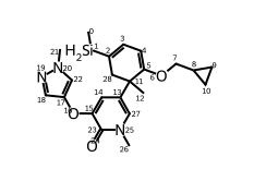 C[SiH2]C1=CC=C(OCC2CC2)C(C)(c2cc(Oc3cnn(C)c3)c(=O)n(C)c2)C1